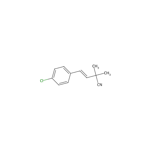 CC(C)(C#N)/C=C/c1ccc(Cl)cc1